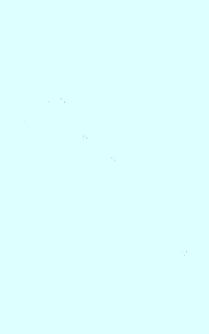 COCCOc1ccc(N2CCN(CCN(C)C(=O)OC(C)(C)C)CC2)c(Cl)c1